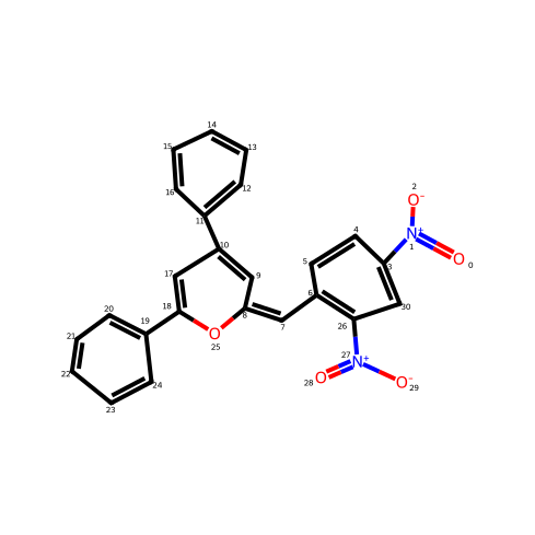 O=[N+]([O-])c1ccc(/C=C2\C=C(c3ccccc3)C=C(c3ccccc3)O2)c([N+](=O)[O-])c1